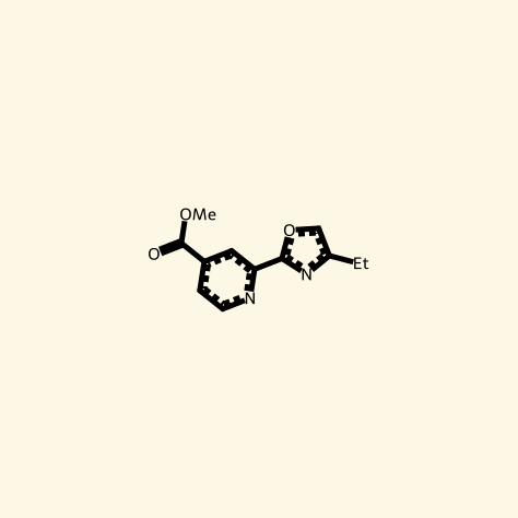 CCc1coc(-c2cc(C(=O)OC)ccn2)n1